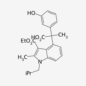 CCOC(=O)c1c(C)n(CC(C)C)c2cccc(C(C)(C(=O)O)c3cccc(O)c3)c12